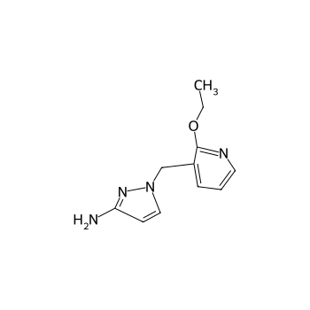 CCOc1ncccc1Cn1ccc(N)n1